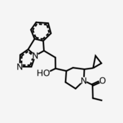 CCC(=O)N1CCC(C(O)CC2c3ccccc3-c3cncn32)CC1C1CC1